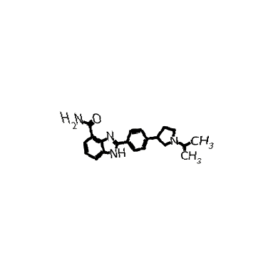 CC(C)N1CCC(c2ccc(-c3nc4c(C(N)=O)cccc4[nH]3)cc2)C1